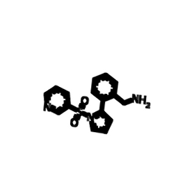 NCc1ccccc1-c1cccn1S(=O)(=O)c1cccnc1